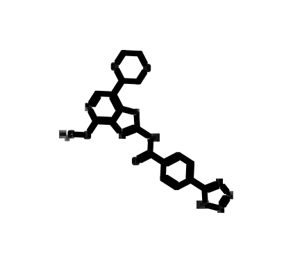 COc1ncc(C2COCCO2)c2sc(NC(=O)c3ccc(-c4nnn[nH]4)cc3)nc12